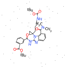 CN(C)C(=O)c1cccc2nc(NC(=O)c3cccc(C(=O)OC(C)(C)C)c3)n(C3(CCCCNC(=O)OC(C)(C)C)CC3)c12